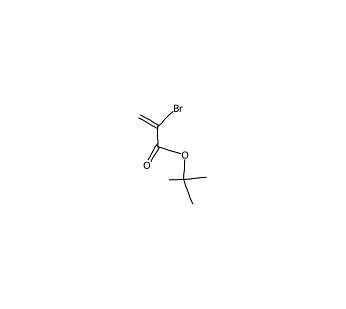 C=C(Br)C(=O)OC(C)(C)C